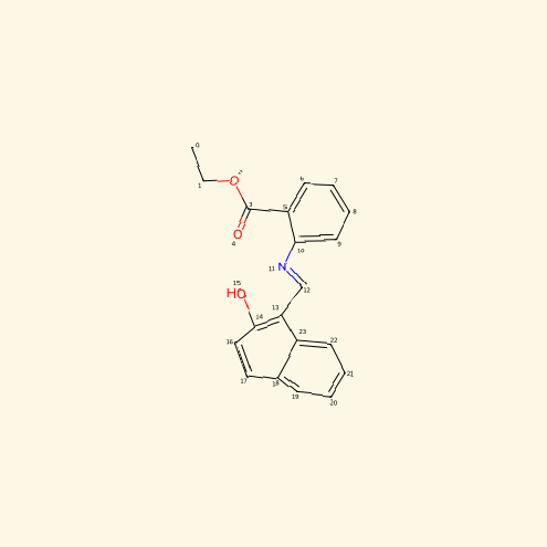 CCOC(=O)c1ccccc1/N=C/c1c(O)ccc2ccccc12